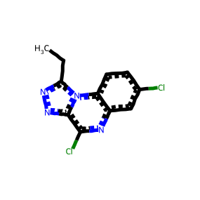 CCc1nnc2c(Cl)nc3cc(Cl)ccc3n12